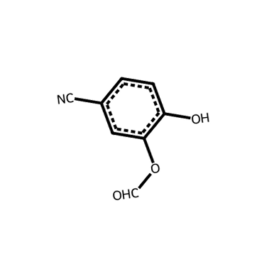 N#Cc1ccc(O)c(OC=O)c1